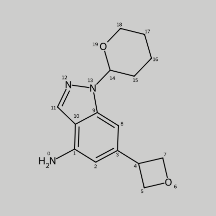 Nc1cc(C2COC2)cc2c1cnn2C1CCCCO1